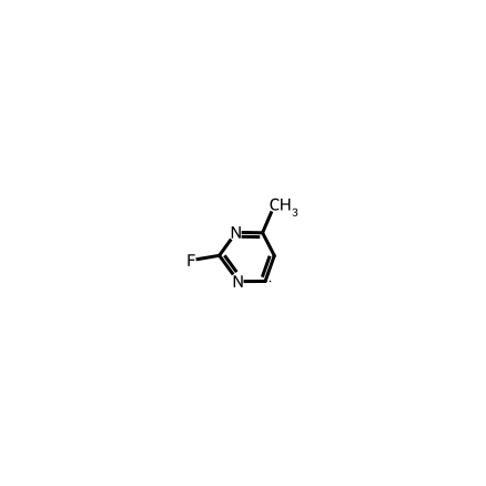 Cc1c[c]nc(F)n1